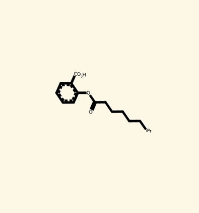 CC(C)CCCCCC(=O)Oc1ccccc1C(=O)O